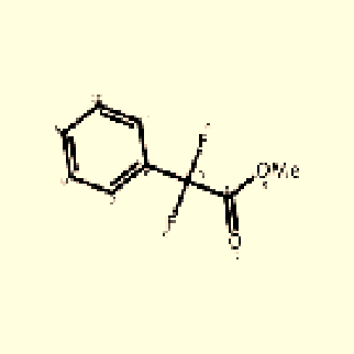 COC(=O)C(F)(F)c1ccccc1